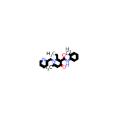 CCc1c(C(=O)Nc2ccccc2C)c(=O)cc(C)n1Cc1ccccn1